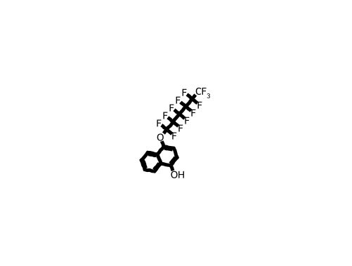 Oc1ccc(OC(F)(F)C(F)(F)C(F)(F)C(F)(F)C(F)(F)C(F)(F)F)c2ccccc12